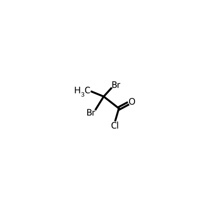 CC(Br)(Br)C(=O)Cl